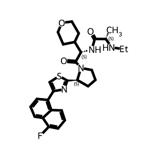 CCN[C@@H](C)C(=O)N[C@H](C(=O)N1CCC[C@H]1c1nc(-c2cccc3c(F)cccc23)cs1)C1CCOCC1